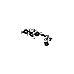 CC(C)C[C@H](NCCCOc1ccc(-n2c(N)c(C(=O)c3ccc(F)cc3F)ccc2=O)cc1)C(=O)OC1CCCC1